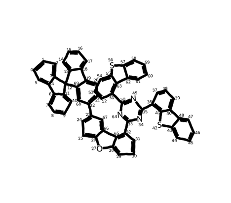 c1ccc2c(c1)-c1ccccc1C21c2ccccc2-c2ccc(-c3ccc4oc5cccc(-c6nc(-c7cccc8c7sc7ccccc78)nc(-c7cccc8sc9ccccc9c78)n6)c5c4c3)cc21